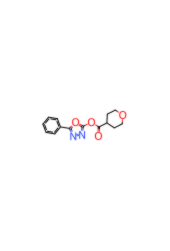 O=C(Oc1nnc(-c2ccccc2)o1)C1CCOCC1